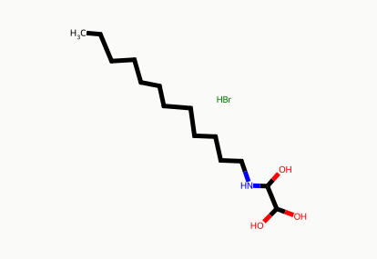 Br.CCCCCCCCCCCCNC(O)C(O)O